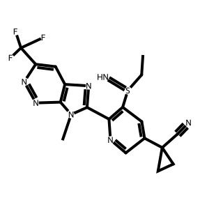 CCS(=N)c1cc(C2(C#N)CC2)cnc1-c1nc2cc(C(F)(F)F)nnc2n1C